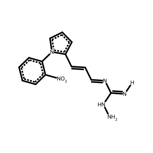 [H]/N=C(\N=C\C=Cc1cccn1-c1ccccc1[N+](=O)[O-])NN